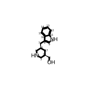 OC[C@H]1CNC[C@@H](Cc2c[nH]c3ccccc23)C1